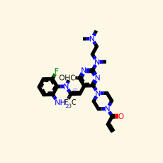 C=CC(=O)N1CCN(c2nc(N(C)CCN(C)C)nc(C=O)c2/C=C(\N(C)c2c(N)cccc2F)C(F)(F)F)CC1